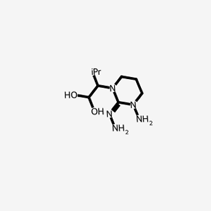 CC(C)C(C(O)O)N1CCCN(N)/C1=N\N